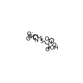 O=C(O)C(CCSSc1ccc([N+](=O)[O-])cn1)N1C(=O)CCC1=O